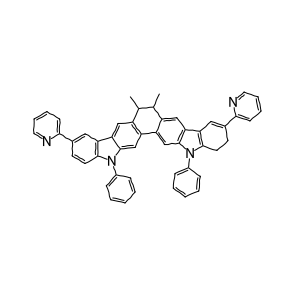 CC1c2cc3c4c(n(-c5ccccc5)c3cc2-c2cc3c(cc2C1C)c1cc(-c2ccccn2)ccc1n3-c1ccccc1)CCC(c1ccccn1)=C4